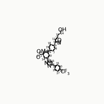 COC(=O)c1cc(-c2ccc(-c3cc(CCO)on3)cc2)cc(-n2cc(-c3ccc(C(F)(F)F)cc3)nn2)c1